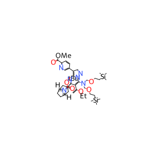 C=C(OCC)c1c([C@H]2C[C@H]3CC[C@@H](C2)N3C(=O)OC(C)(C)C)nc2c(-c3ccc(C(=O)OC)nc3)cnn2c1N(COCC[Si](C)(C)C)COCC[Si](C)(C)C